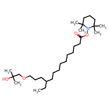 CCC(CCCCCCCCCC(=O)ON1C(C)(C)CCCC1(C)C)CCCOCC(C)(C)O